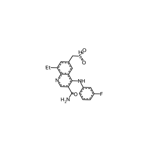 CCc1cc(C[SH](=O)=O)cc2c(Nc3cccc(F)c3)c(C(N)=O)cnc12